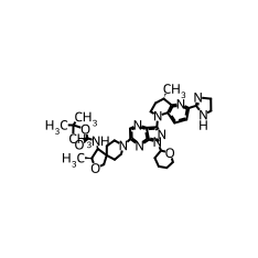 C[C@@H]1OCC2(CCN(c3cnc4c(N5CC[C@H](C)c6nc(C7=NCCN7)ccc65)nn(C5CCCCO5)c4n3)CC2)[C@@H]1NC(=O)OC(C)(C)C